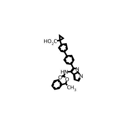 CC(OC(=O)NC1=C(c2ccc(-c3ccc(C4(C(=O)O)CC4)cc3)cc2)N=C2N=CC=C21)c1ccccc1